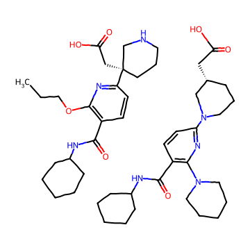 CCCOc1nc([C@]2(CC(=O)O)CCCNC2)ccc1C(=O)NC1CCCCC1.O=C(O)C[C@@H]1CCCN(c2ccc(C(=O)NC3CCCCC3)c(N3CCCCC3)n2)C1